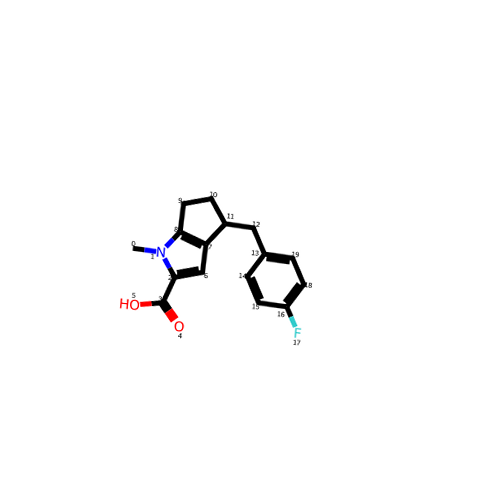 Cn1c(C(=O)O)cc2c1CCC2Cc1ccc(F)cc1